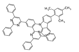 Cc1cc(C)c(-c2ccc3c(c2)c2ccccc2n3-c2ccc(-c3cc(-c4ccccc4)nc(-c4ccccc4)n3)cc2-c2nc(-c3ccccc3)cc(-c3ccccc3)n2)c(C)c1